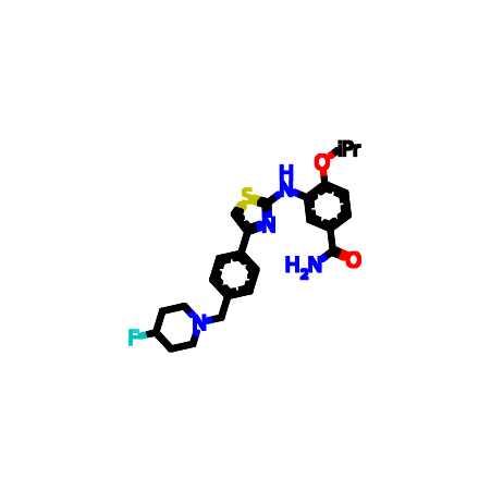 CC(C)Oc1ccc(C(N)=O)cc1Nc1nc(-c2ccc(CN3CCC(F)CC3)cc2)cs1